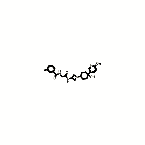 COc1ccc(C2(O)CCC(N3CC(NC(=O)CNC(=O)c4cccc(C)c4)C3)CC2)cn1